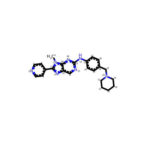 Cn1c(-c2ccncc2)nc2cnc(Nc3ccc(CN4CCCCC4)cc3)nc21